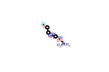 CN(C)CCOC(=O)Nc1ccc(C(=O)Nc2cc(-c3cccc(OC(F)(F)F)c3)ccc2N)cc1